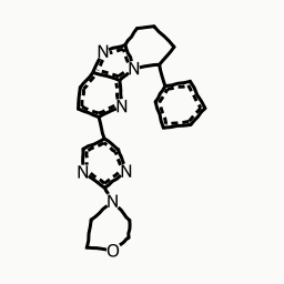 c1ccc(C2CCCc3nc4ccc(-c5cnc(N6CCOCC6)nc5)nc4n32)cc1